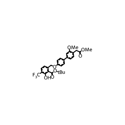 COC(=O)Cc1ccc(-c2ccc(OCc3ccc(C(F)(F)F)c(O)c3C(=O)OC(C)(C)C)cc2)cc1OC